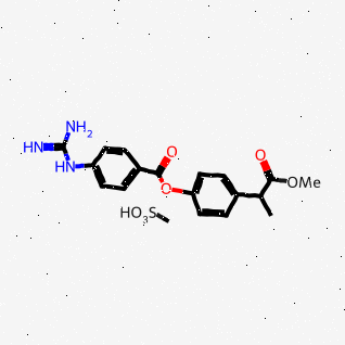 COC(=O)C(C)c1ccc(OC(=O)c2ccc(NC(=N)N)cc2)cc1.CS(=O)(=O)O